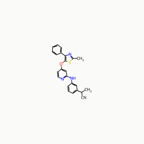 Cc1nc(-c2ccccc2)c(Oc2ccnc(Nc3cccc(C(C)C#N)c3)c2)s1